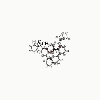 CC1(C)c2ccccc2-c2cc(-c3ccccc3)c(N(c3ccc(C4CC5CCC4C5)cc3)c3ccccc3-c3ccccc3C3CCCCC3)cc21